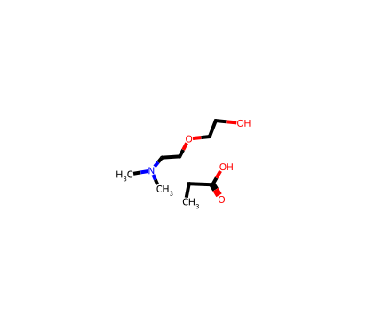 CCC(=O)O.CN(C)CCOCCO